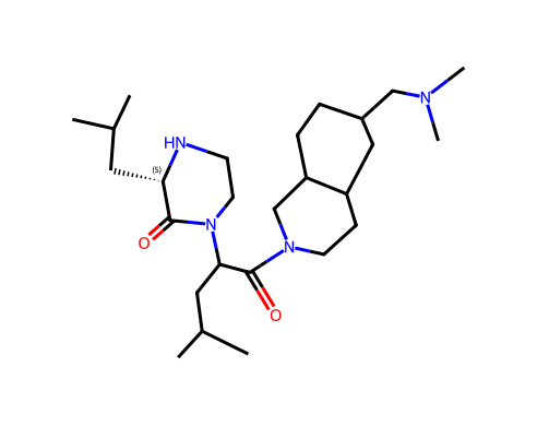 CC(C)CC(C(=O)N1CCC2CC(CN(C)C)CCC2C1)N1CCN[C@@H](CC(C)C)C1=O